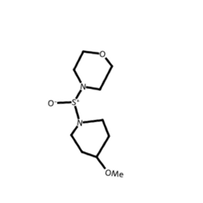 COC1CCN([S+]([O-])N2CCOCC2)CC1